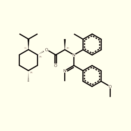 C/N=C(\c1ccc(OC)cc1)N(c1ccccc1C)[C@H](C)C(=O)O[C@@H]1C[C@H](C)CC[C@H]1C(C)C